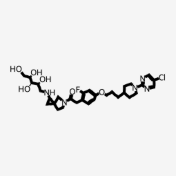 O=C(Cc1ccc(OCCCC2CCN(c3ncc(Cl)cn3)CC2)cc1F)N1CCC2(CC2NC[C@H](O)[C@H](O)[C@H](O)CO)C1